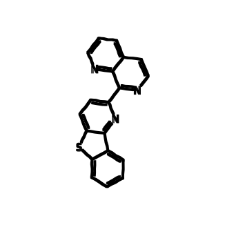 c1cnc2c(-c3ccc4sc5ccccc5c4n3)nccc2c1